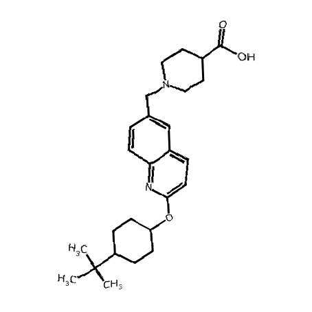 CC(C)(C)C1CCC(Oc2ccc3cc(CN4CCC(C(=O)O)CC4)ccc3n2)CC1